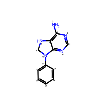 Nc1ncnc2c1NCN2c1ccccc1